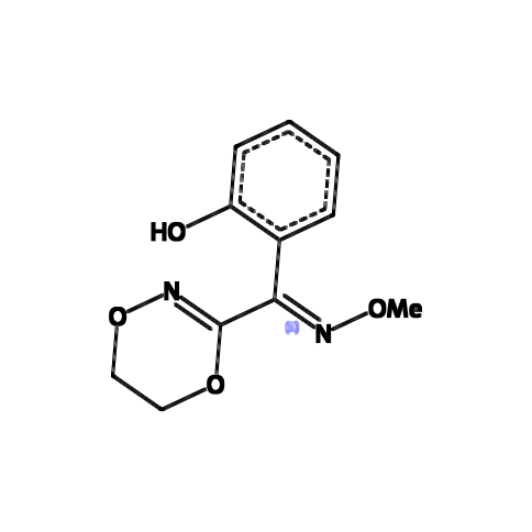 CO/N=C(/C1=NOCCO1)c1ccccc1O